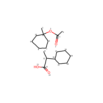 CC(=O)OC1(C)CCCCC1.CC(C(=O)O)C1CCCCC1